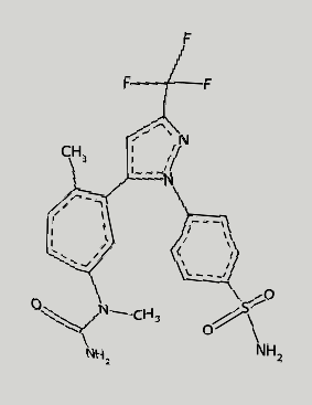 Cc1ccc(N(C)C(N)=O)cc1-c1cc(C(F)(F)F)nn1-c1ccc(S(N)(=O)=O)cc1